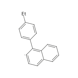 CCc1ccc(-c2[c]ccc3ccccc23)cc1